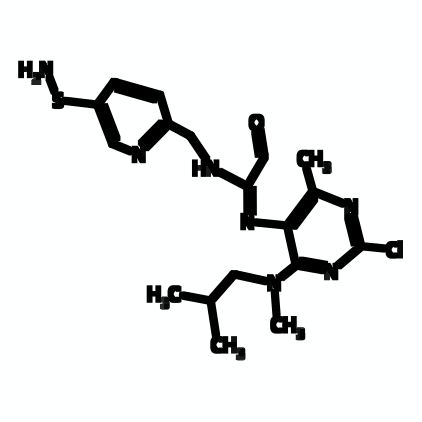 Cc1nc(Cl)nc(N(C)CC(C)C)c1/N=C(\C=O)NCc1ccc(SN)cn1